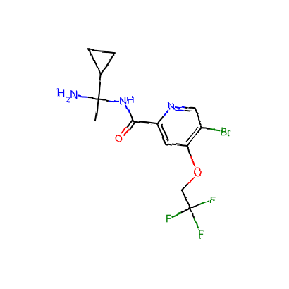 CC(N)(NC(=O)c1cc(OCC(F)(F)F)c(Br)cn1)C1CC1